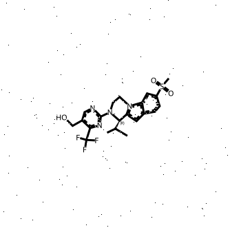 CC(C)[C@@H]1c2cc3ccc(S(C)(=O)=O)cc3n2CCN1c1ncc(CO)c(C(F)(F)F)n1